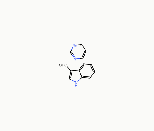 O=Cc1c[nH]c2ccccc12.c1cncnc1